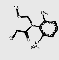 CCOCN(C(=O)CCl)c1c(C)cccc1CC.N